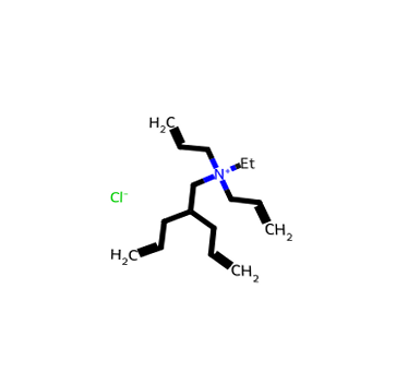 C=CCC(CC=C)C[N+](CC)(CC=C)CC=C.[Cl-]